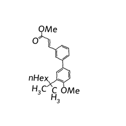 CCCCCCC(C)(C)c1cc(-c2cccc(C=CC(=O)OC)c2)ccc1OC